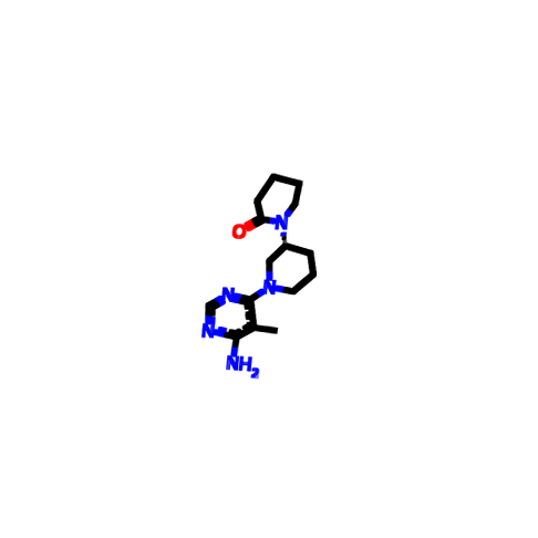 Cc1c(N)ncnc1N1CCC[C@@H](N2CCCCC2=O)C1